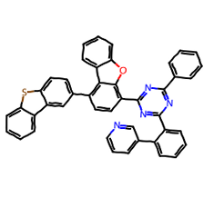 c1ccc(-c2nc(-c3ccccc3-c3cccnc3)nc(-c3ccc(-c4ccc5sc6ccccc6c5c4)c4c3oc3ccccc34)n2)cc1